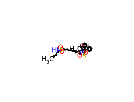 CCCCCCNS(=O)(=O)CCCCCCC=CCC(=O)N1C(=S)OC(c2ccccc2)(c2ccccc2)[C@@H]1C(C)C